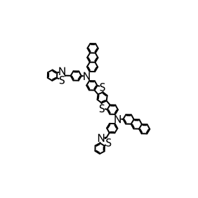 c1ccc2cc3cc(N(c4ccc(-c5nc6ccccc6s5)cc4)c4ccc5c(c4)sc4cc6c(cc45)sc4cc(N(c5ccc(-c7nc8ccccc8s7)cc5)c5ccc7cc8ccccc8cc7c5)ccc46)ccc3cc2c1